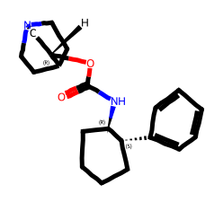 O=C(N[C@@H]1CCCC[C@H]1c1ccccc1)O[C@H]1CN2CCC1CC2